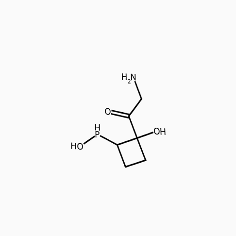 NCC(=O)C1(O)CCC1PO